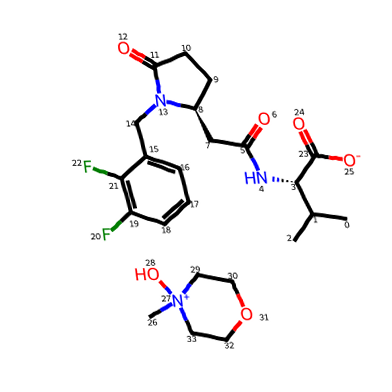 CC(C)[C@H](NC(=O)C[C@@H]1CCC(=O)N1Cc1cccc(F)c1F)C(=O)[O-].C[N+]1(O)CCOCC1